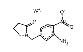 Cl.Nc1cc(CN2CCCC2=O)ccc1[N+](=O)[O-]